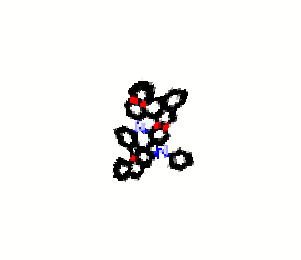 c1ccc(-c2cccc3cccc(-c4ccccc4N(c4cccc(-c5cccc6ccccc56)c4)c4cccc5c4c4ccccc4n5-c4ccccc4)c23)cc1